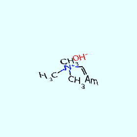 C[N+](C)(C)[CH]=[Am].[OH-]